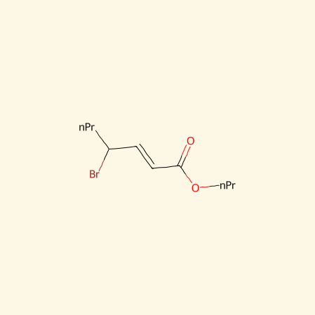 CCCOC(=O)/C=C/C(Br)CCC